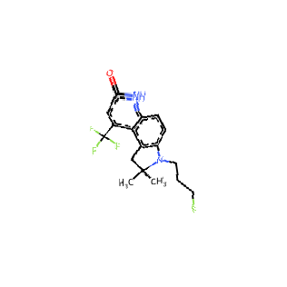 CC1(C)Cc2c(ccc3[nH]c(=O)cc(C(F)(F)F)c23)N1CCCF